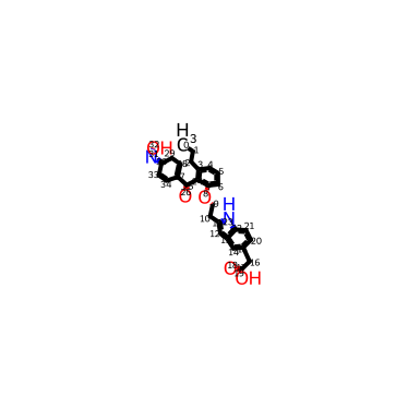 CCCc1cccc(OCCc2cc3cc(CC(=O)O)ccc3[nH]2)c1C(=O)C1=CCC(=NO)C=C1